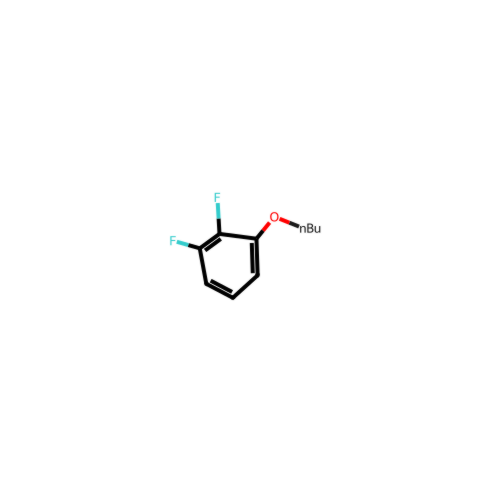 CCCCOc1cccc(F)c1F